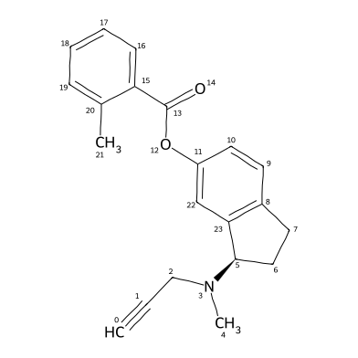 C#CCN(C)[C@@H]1CCc2ccc(OC(=O)c3ccccc3C)cc21